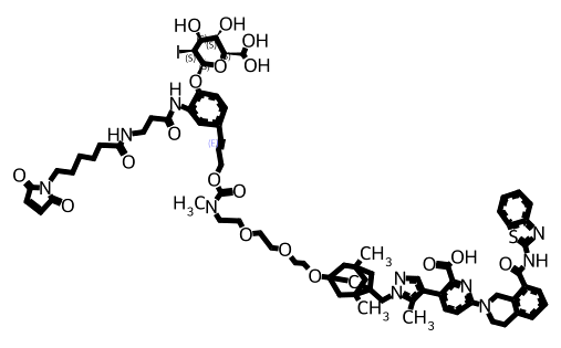 Cc1c(-c2ccc(N3CCc4cccc(C(=O)Nc5nc6ccccc6s5)c4C3)nc2C(=O)O)cnn1CC12CC3(C)CC(OCCOCCOCCN(C)C(=O)OC/C=C/c4ccc(O[C@@H]5O[C@H](C(O)O)[C@@H](O)[C@H](O)[C@@H]5I)c(NC(=O)CCNC(=O)CCCCCN5C(=O)C=CC5=O)c4)(CC1(C)C3)C2